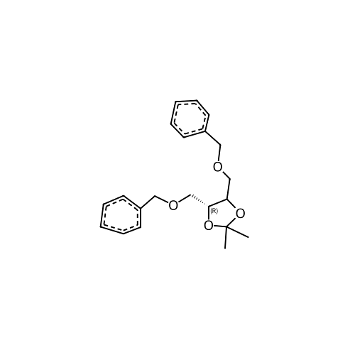 CC1(C)OC(COCc2ccccc2)[C@@H](COCc2ccccc2)O1